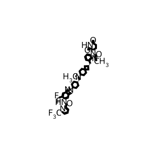 Cn1c(=O)n(C2CCC(=O)NC2=O)c2cccc(C[C@H]3CC4(CC[C@@H](N(C)C[C@H]5CC[C@H](n6cc7cc(NC(=O)c8cccc(C(F)(F)F)n8)c(C(F)F)cc7n6)CC5)CC4)C3)c21